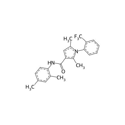 Cc1ccc(NC(=O)c2cc(C)n(-c3ccccc3C(F)(F)F)c2C)c(C)c1